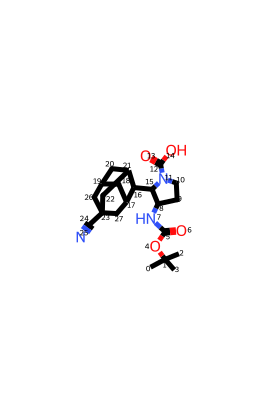 CC(C)(C)OC(=O)NC1CCN(C(=O)O)C1C1C2CC3CC1CC(C#N)(C3)C2